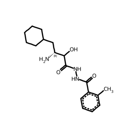 Cc1ccccc1C(=O)NNC(=O)C(O)[C@H](N)CC1CCCCC1